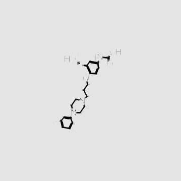 COc1cc(NC(C)=O)ccc1OCCCN1CCN(c2ccccc2)CC1